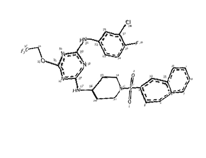 O=S(=O)(c1ccc2ccccc2c1)N1CCC(Nc2nc(Nc3ccc(F)c(Cl)c3)nc(OCC(F)(F)F)n2)CC1